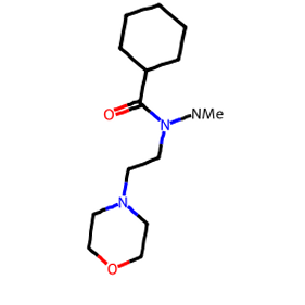 CNN(CCN1CCOCC1)C(=O)C1CCCCC1